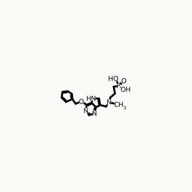 CN(CCCP(=O)(O)O)Cc1c[nH]c2c(OCc3ccccc3)ncnc12